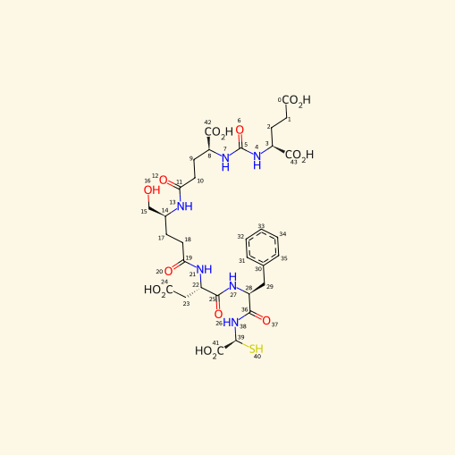 O=C(O)CC[C@H](NC(=O)N[C@@H](CCC(=O)N[C@H](CO)CCC(=O)N[C@@H](CC(=O)O)C(=O)N[C@@H](Cc1ccccc1)C(=O)N[C@@H](S)C(=O)O)C(=O)O)C(=O)O